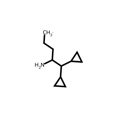 [CH2]CCC(N)C(C1CC1)C1CC1